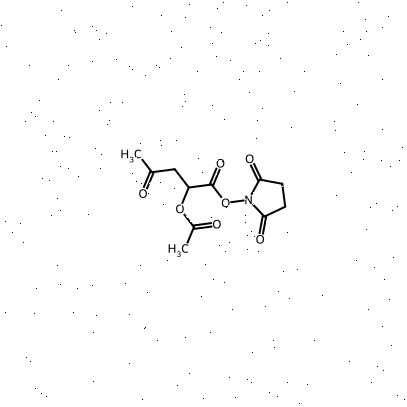 CC(=O)CC(OC(C)=O)C(=O)ON1C(=O)CCC1=O